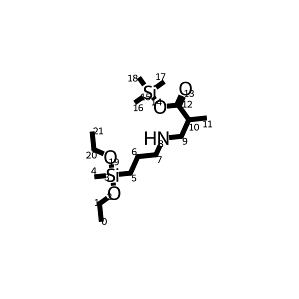 CCO[Si](C)(CCCNCC(C)C(=O)O[Si](C)(C)C)OCC